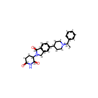 C[C@H](c1ccccc1)N1CCC(c2ccc3c(c2)CN(C2CCC(=O)NC2=O)C3=O)CC1